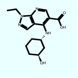 CCn1ncc2c(N[C@H]3CCC[C@H](O)C3)c(C(=O)O)cnc21